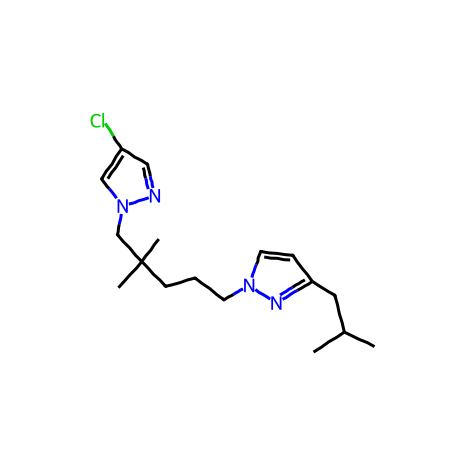 CC(C)Cc1ccn(CCCC(C)(C)Cn2cc(Cl)cn2)n1